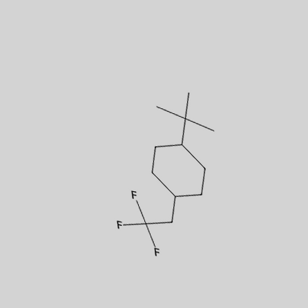 CC(C)(C)C1CCC(CC(F)(F)F)CC1